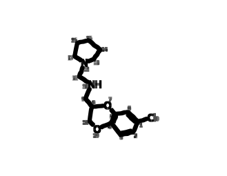 Clc1ccc2c(c1)OC(CNCN1CCCCC1)CO2